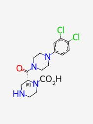 O=C([C@H]1CNCCN1C(=O)O)N1CCN(c2ccc(Cl)c(Cl)c2)CC1